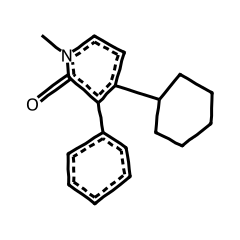 Cn1ccc(C2CCCCC2)c(-c2ccccc2)c1=O